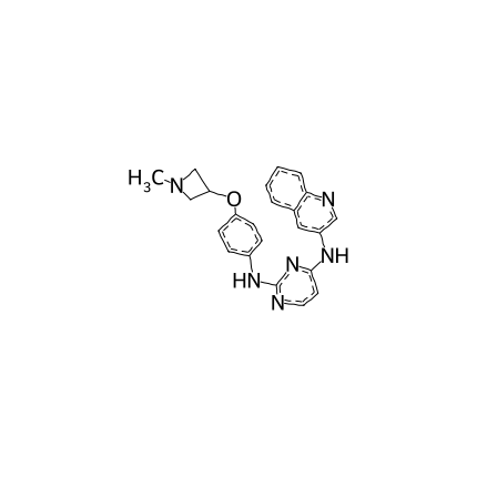 CN1CC(Oc2ccc(Nc3nccc(Nc4cnc5ccccc5c4)n3)cc2)C1